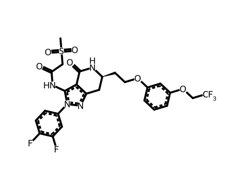 CS(=O)(=O)CC(=O)Nc1c2c(nn1-c1ccc(F)c(F)c1)C[C@H](CCOc1cccc(OCC(F)(F)F)c1)NC2=O